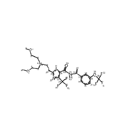 COCCN(CCOC)CCc1nc(C(F)(F)F)c(C(=O)NC(C)c2cccc(OC(F)(F)F)c2)s1